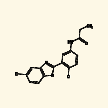 CCC(=O)Nc1ccc(Cl)c(-c2nc3cc(Cl)ccc3o2)c1